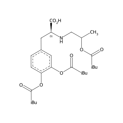 CCC(C)C(=O)Oc1ccc(C[C@H](NCC(C)OC(=O)C(C)CC)C(=O)O)cc1OC(=O)C(C)CC